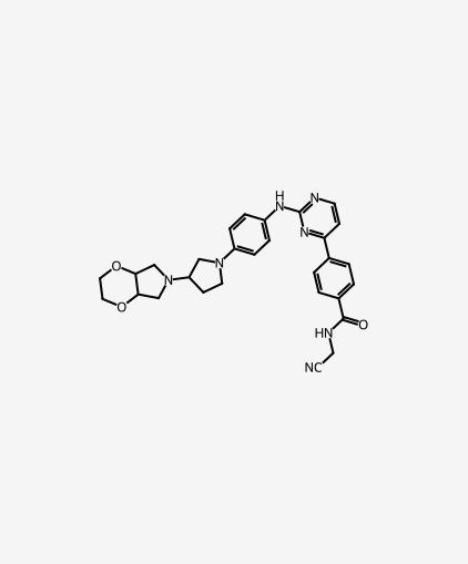 N#CCNC(=O)c1ccc(-c2ccnc(Nc3ccc(N4CCC(N5CC6OCCOC6C5)C4)cc3)n2)cc1